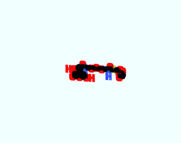 O=C(CSCCC(=O)ON1C(=O)CCC1=O)NCCCOCCOCCOCCCNC(=O)c1ccc(C(=O)O)c(-c2c3ccc(=O)cc-3oc3cc(O)ccc23)c1